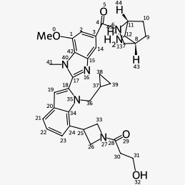 COc1cc(C(=O)N2C[C@H]3CC[C@@H]2[C@@H]3N)cc2nc(-c3cc4cccc(C5CN(C(=O)CCO)C5)c4n3CC3CC3)n(C)c12